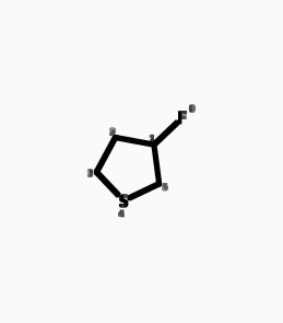 FC1CCSC1